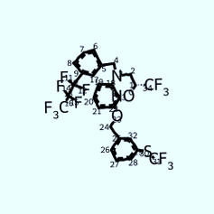 O[C@H](CN(Cc1cccc(C(F)(F)C(F)(F)C(F)(F)F)c1)c1cccc(OCc2cccc(SC(F)(F)F)c2)c1)C(F)(F)F